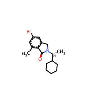 Cc1cc(Br)cc2c1C(=O)N([C@H](C)C1CCCCC1)C2